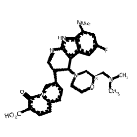 CNc1cc(F)cc2c3c([nH]c12)N=CC(c1ccc2ccc(C(=O)O)c(=O)n2c1)C3N1CCO[C@H](CN(C)C)C1